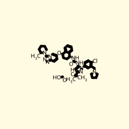 C[C@H]1CCCCN1c1nnc2ccc(O[C@@H]3CC[C@H](NC(=O)Nc4cc(C(C)(C)C)nn4-c4ccc(Cl)c(CN5CCCC5)c4)c4ccccc43)cn12.O=CO